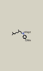 CCCCCCCN(CCC(C)CCC=C(C)C)c1ccc(OC)cc1